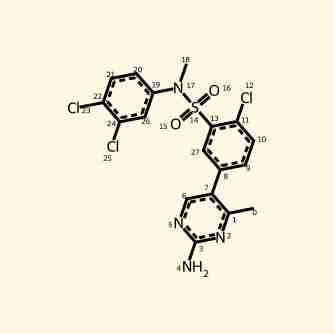 Cc1nc(N)ncc1-c1ccc(Cl)c(S(=O)(=O)N(C)c2ccc(Cl)c(Cl)c2)c1